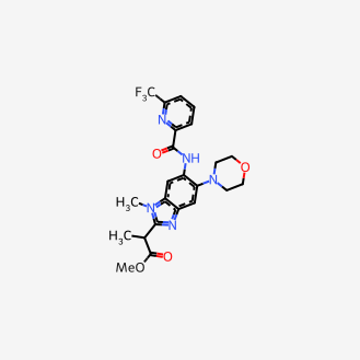 COC(=O)C(C)c1nc2cc(N3CCOCC3)c(NC(=O)c3cccc(C(F)(F)F)n3)cc2n1C